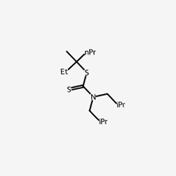 CCCC(C)(CC)SC(=S)N(CC(C)C)CC(C)C